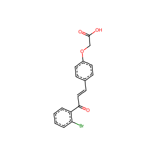 O=C(O)COc1ccc(/C=C/C(=O)c2ccccc2Br)cc1